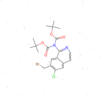 CC(C)(C)OC(=O)N(C(=O)OC(C)(C)C)c1nccc2cc(Cl)c(CBr)cc12